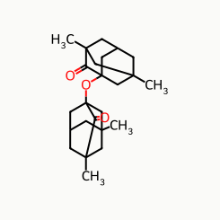 CC12CC3CC(C)(C1)C(=O)C(OC14CC5CC(C)(CC(C)(C5)C1=O)C4)(C3)C2